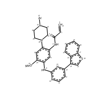 C=CC(=O)Nc1cc(Nc2nccc(-c3csc4ccccc34)n2)c(OC)cc1N1CCN(C(C)=O)CC1